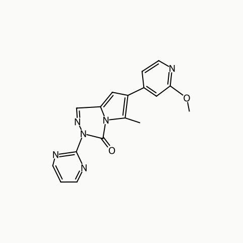 COc1cc(-c2cc3cnn(-c4ncccn4)c(=O)n3c2C)ccn1